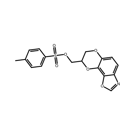 Cc1ccc(S(=O)(=O)OCC2COc3ccc4ncoc4c3O2)cc1